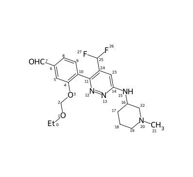 CCOCOc1cc(C=O)ccc1-c1nnc(NC2CCCN(C)C2)cc1C(F)F